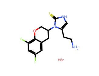 Br.NCCc1c[nH]c(=S)n1C1COc2c(F)cc(F)cc2C1